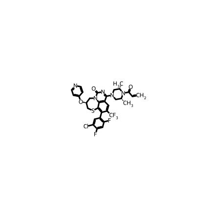 C=CC(=O)N1[C@H](C)CN(c2nc(=O)n3c4c(c(-c5cc(Cl)c(F)cc5F)c(C(F)(F)F)cc24)SC[C@@H](Oc2ccncc2)C3)C[C@@H]1C